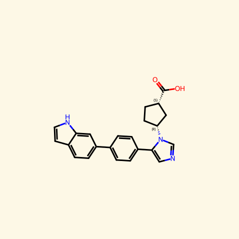 O=C(O)[C@H]1CC[C@@H](n2cncc2-c2ccc(-c3ccc4cc[nH]c4c3)cc2)C1